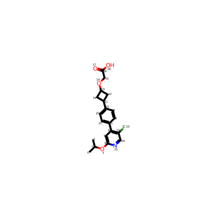 CC(C)Oc1cc(-c2ccc(C3CC(OCC(=O)O)C3)cc2)c(F)cn1